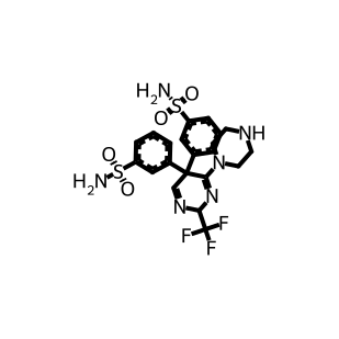 NS(=O)(=O)c1cccc(C2(c3cccc(S(N)(=O)=O)c3)C=NC(C(F)(F)F)N=C2N2CCNCC2)c1